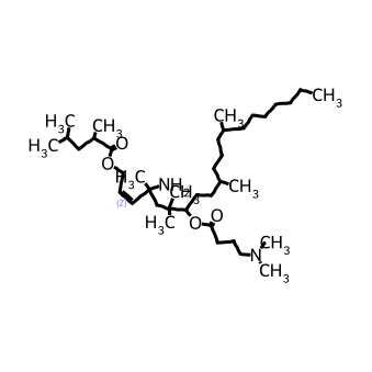 CCCCCCCC(C)CCCC(C)CCC(OC(=O)CCCN(C)C)C(C)(C)CC(C)(N)/C=C\COC(=O)C(C)CC(C)C